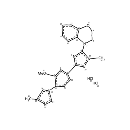 COc1cc(-c2nc(N3CCOc4ccccc43)n(C)n2)ccc1-n1cnc(C)c1.Cl.Cl